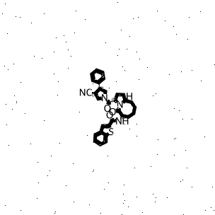 N#C[C@@H]1CN(C(=O)[C@@H]2CC[C@@H]3CCCC[C@H](NC(=O)c4cc5ccccc5s4)C(=O)N32)C[C@H]1c1ccccc1